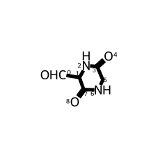 O=CC1NC(=O)CNC1=O